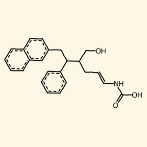 O=C(O)NC=CCC(CO)C(Cc1ccc2ccccc2c1)c1ccccc1